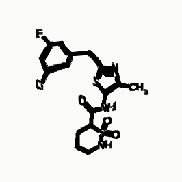 Cc1nc(Cc2cc(F)cc(Cl)c2)sc1NC(=O)C1CCCNS1(=O)=O